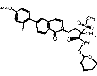 COc1ccc(-c2ccc3c(=O)n(CCC(C)(C(=O)NOC4CCCCO4)S(C)(=O)=O)ccc3c2)c(F)c1